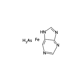 [AsH3].[Fe].c1ncc2[nH]cnc2n1